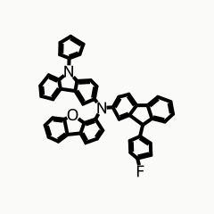 Fc1ccc(C2c3ccccc3-c3ccc(N(c4ccc5c(c4)c4ccccc4n5-c4ccccc4)c4cccc5c4oc4ccccc45)cc32)cc1